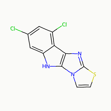 Clc1cc(Cl)c2c(c1)[nH]c1c2nc2sccn21